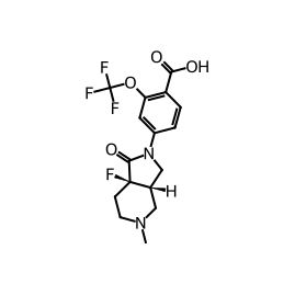 CN1CC[C@]2(F)C(=O)N(c3ccc(C(=O)O)c(OC(F)(F)F)c3)C[C@@H]2C1